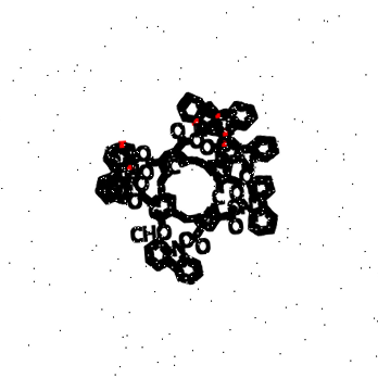 O=Cc1cc(C(=O)On2c3ccccc3c3ccccc32)c2cc1Cc1cc(c(C(=O)On3c4ccccc4c4ccccc43)cc1C(=O)On1c3ccccc3c3ccccc31)Cc1cc(c(C(=O)On3c4ccccc4c4ccccc43)cc1C(=O)On1c3ccccc3c3ccccc31)Cc1cc(c(C(=O)On3c4ccccc4c4ccccc43)cc1C(=O)ON1c3ccccc3C3=CC=CCC31)C2